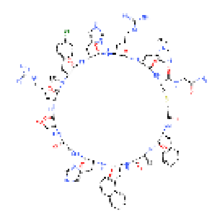 CC[C@@H]1NC(=O)[C@H](Cc2ccccc2)NC(=O)CSC[C@@H](C(=O)NCC(N)=O)NC(=O)[C@H](Cc2cncn2C)NC(=O)[C@H](CCCNC(=N)N)NC(=O)[C@H](Cc2c[nH]cn2)NC(=O)[C@H](Cc2ccc(Cl)cc2)N(C)C(=O)[C@H](CCCNC(=N)N)NC(=O)[C@H](CO)NC(=O)CNC(=O)[C@H](Cc2c[nH]cn2)NC(=O)[C@H](Cc2cccc3ccccc23)NC1=O